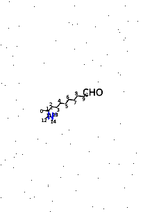 CC([CH]CCCCCCCC=O)[N+](C)(C)C